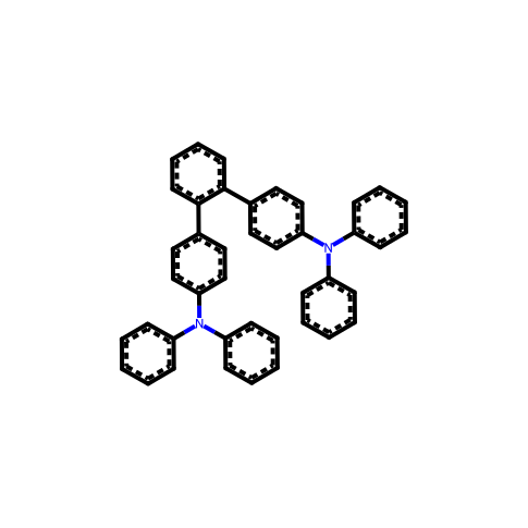 c1ccc(N(c2ccccc2)c2ccc(-c3ccccc3-c3ccc(N(c4ccccc4)c4ccccc4)cc3)cc2)cc1